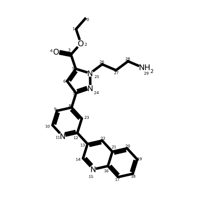 CCOC(=O)c1cc(-c2ccnc(-c3cnc4ccccc4c3)c2)nn1CCCN